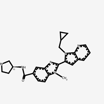 Cn1c(-c2cc3cccnc3n2CC2CC2)nc2cc(C(=O)N[C@H]3CCNC3)ccc21